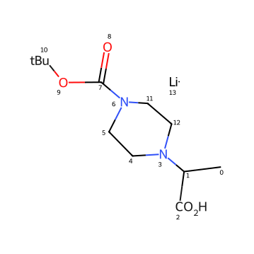 CC(C(=O)O)N1CCN(C(=O)OC(C)(C)C)CC1.[Li]